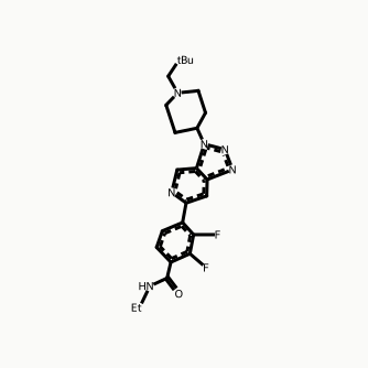 CCNC(=O)c1ccc(-c2cc3nnn(C4CCN(CC(C)(C)C)CC4)c3cn2)c(F)c1F